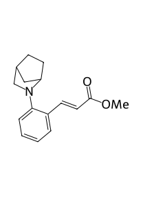 COC(=O)/C=C/c1ccccc1N1CC2CCC1C2